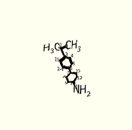 CC(C)c1ccc(C2CCC(N)CC2)cc1